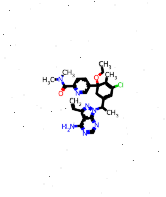 C=Cc1nn(C(C)C2=CC(Cl)=C(C)C(OCC)(c3ccc(C(=O)N(C)C)nc3)C2)c2ncnc(N)c12